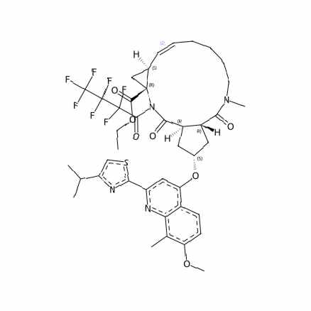 CCOC(=O)[C@@]12C[C@H]1/C=C\CCCCN(C)C(=O)[C@@H]1C[C@H](Oc3cc(-c4nc(C(C)C)cs4)nc4c(C)c(OC)ccc34)C[C@H]1C(=O)N2C(=O)C(F)(F)C(F)(F)C(F)(F)F